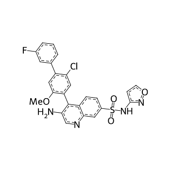 COc1cc(-c2cccc(F)c2)c(Cl)cc1-c1c(N)cnc2cc(S(=O)(=O)Nc3ccon3)ccc12